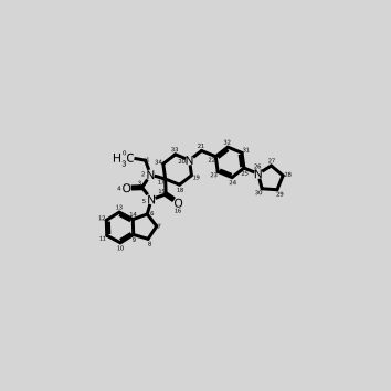 CCN1C(=O)N(C2CCc3ccccc32)C(=O)C12CCN(Cc1ccc(N3CCCC3)cc1)CC2